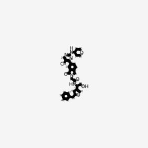 O=C(CN1Cc2ccc(-c3nc(NC4CCOCC4)ncc3Cl)cc2C1=O)NC(CO)C1=COC(Cc2ccccc2)C1